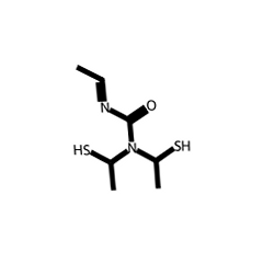 CC=NC(=O)N(C(C)S)C(C)S